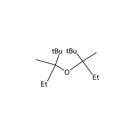 CCC(C)(OC(C)(CC)C(C)(C)C)C(C)(C)C